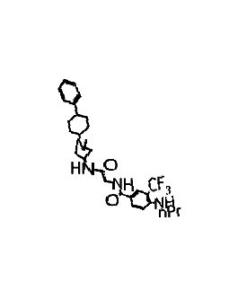 CCCNc1ccc(C(=O)NCC(=O)NC2CN(C3CCC(c4ccccc4)CC3)C2)cc1C(F)(F)F